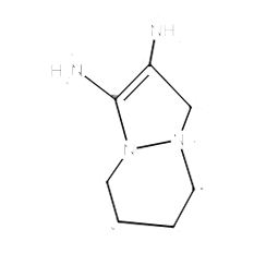 NC1=C(N)N2CCCCN2C1